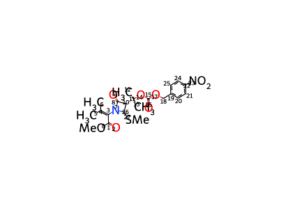 COC(=O)C(=C(C)C)N1C(=O)[C@H](C(C)(C)OC(=O)OCc2ccc([N+](=O)[O-])cc2)[C@H]1SC